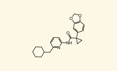 O=C(Nc1cccc(CC2CCCCC2)n1)C1(c2ccc3c(c2)OCO3)CC1